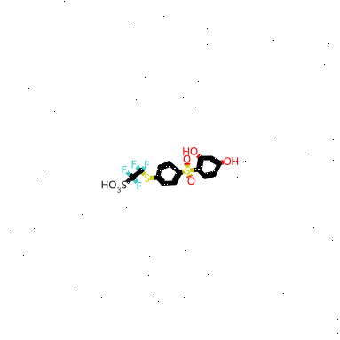 O=S(=O)(c1ccc(SC(F)(F)C(F)(F)S(=O)(=O)O)cc1)c1ccc(O)cc1O